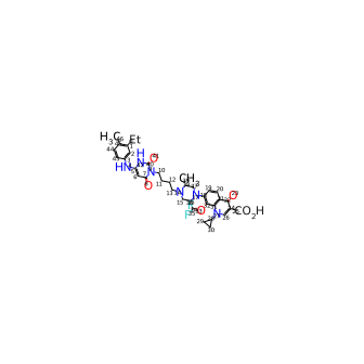 CCc1cc(Nc2cc(=O)n(CCCCN3CCN(c4ccc5c(=O)c(C(=O)O)cn(C6CC6)c5c4OC(F)F)C[C@H]3C)c(=O)[nH]2)ccc1C